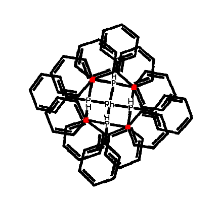 c1ccc([PH](c2ccccc2)(c2ccccc2)[Rh]([PH](c2ccccc2)(c2ccccc2)c2ccccc2)([PH](c2ccccc2)(c2ccccc2)c2ccccc2)[PH](c2ccccc2)(c2ccccc2)c2ccccc2)cc1